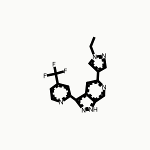 CCn1cc(-c2cc3c(-c4cc(C(F)(F)F)ccn4)n[nH]c3cn2)cn1